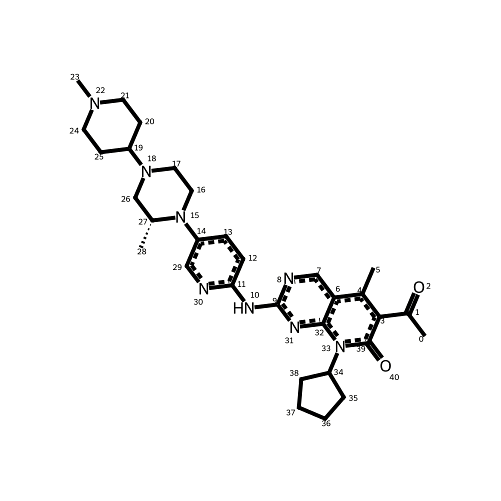 CC(=O)c1c(C)c2cnc(Nc3ccc(N4CCN(C5CCN(C)CC5)C[C@H]4C)cn3)nc2n(C2CCCC2)c1=O